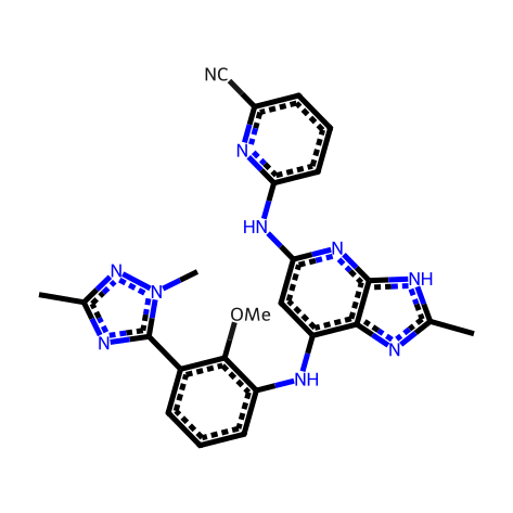 COc1c(Nc2cc(Nc3cccc(C#N)n3)nc3[nH]c(C)nc23)cccc1-c1nc(C)nn1C